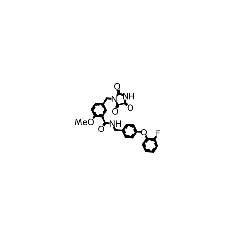 COc1ccc(CN2C(=O)NC(=O)C2=O)cc1C(=O)NCc1ccc(Oc2ccccc2F)cc1